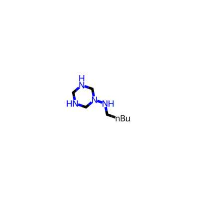 CCCCCNN1CNCNC1